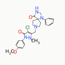 COc1ccc(-n2c(=O)c(Cl)c(CN3CCC4(CC3)C(=O)NCN4c3ccccc3)n2C)cc1